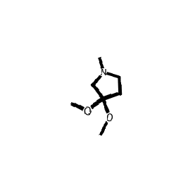 COC1(OC)CCN(C)C1